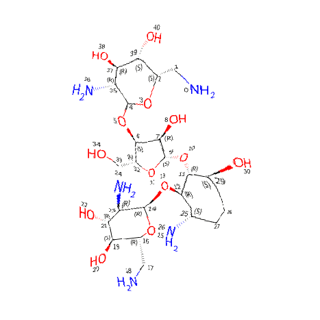 NC[C@@H]1OC(O[C@H]2[C@@H](O)[C@H](O[C@H]3[C@H](O[C@H]4O[C@H](CN)[C@@H](O)[C@H](O)[C@H]4N)[C@@H](N)CC[C@@H]3O)O[C@@H]2CO)[C@H](N)[C@@H](O)[C@@H]1O